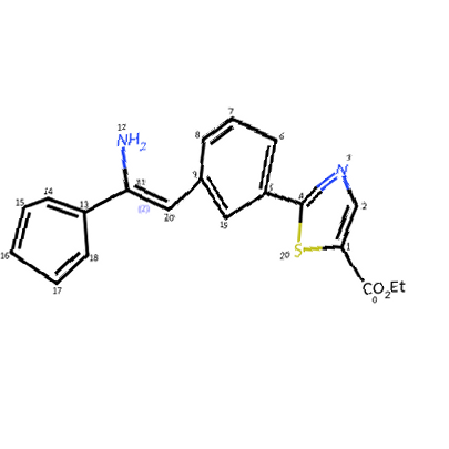 CCOC(=O)c1cnc(-c2cccc(/C=C(\N)c3ccccc3)c2)s1